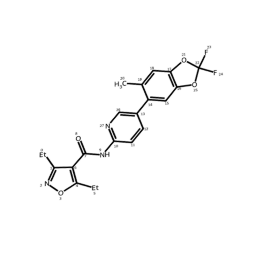 CCc1noc(CC)c1C(=O)Nc1ccc(-c2cc3c(cc2C)OC(F)(F)O3)cn1